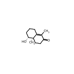 CC1=C2CCC[C@@H](O)[C@]2(C)CCC1=O